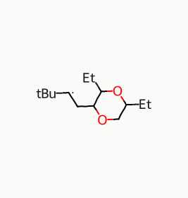 CCC1COC(C[CH]C(C)(C)C)C(CC)O1